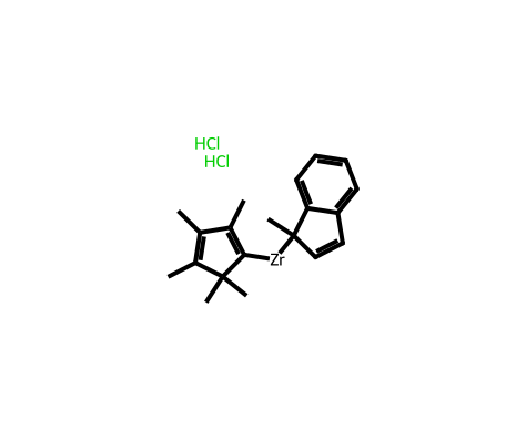 CC1=C(C)C(C)(C)[C]([Zr][C]2(C)C=Cc3ccccc32)=C1C.Cl.Cl